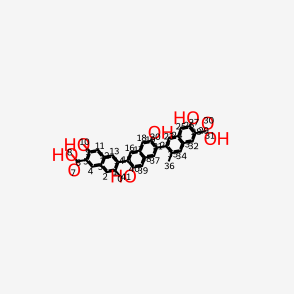 Cc1cc2cc(C(=O)O)c(O)cc2cc1-c1cc2cc(O)c(-c3cc4cc(O)c(C(=O)O)cc4cc3C)cc2cc1O